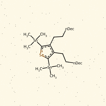 CCCCCCCCCCCCc1[c]([Sn]([CH3])([CH3])[CH3])s[c]([Sn]([CH3])([CH3])[CH3])c1CCCCCCCCCCCC